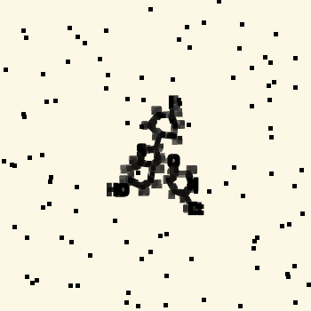 CCc1ccc(Oc2c(-c3ccc(F)cc3)sc3cc(O)ccc23)cn1